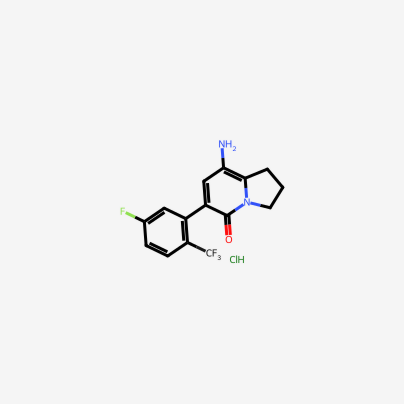 Cl.Nc1cc(-c2cc(F)ccc2C(F)(F)F)c(=O)n2c1CCC2